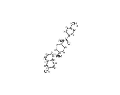 Cc1ccc(C(=O)NC2CCC(Nc3ccnc4cc(Cl)ccc34)CC2)cc1